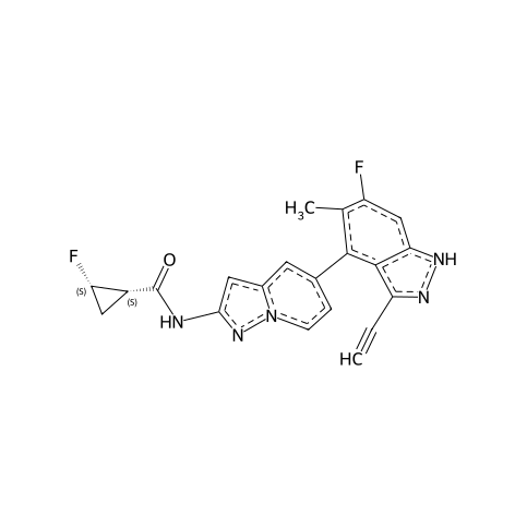 C#Cc1n[nH]c2cc(F)c(C)c(-c3ccn4nc(NC(=O)[C@@H]5C[C@@H]5F)cc4c3)c12